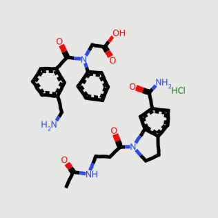 CC(=O)NCCC(=O)N1CCc2ccc(C(N)=O)cc21.Cl.NCc1cccc(C(=O)N(CC(=O)O)c2ccccc2)c1